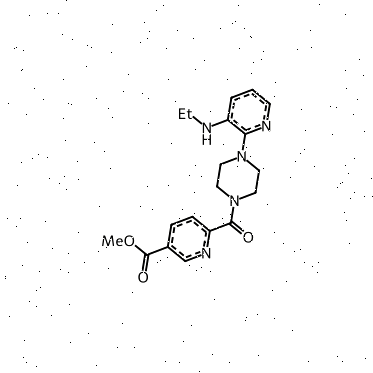 CCNc1cccnc1N1CCN(C(=O)c2ccc(C(=O)OC)cn2)CC1